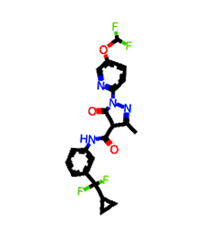 CC1=NN(c2ccc(OC(F)F)cn2)C(=O)C1C(=O)Nc1cccc(C(F)(F)C2CC2)c1